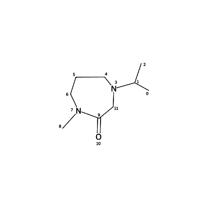 CC(C)N1CCCN(C)C(=O)C1